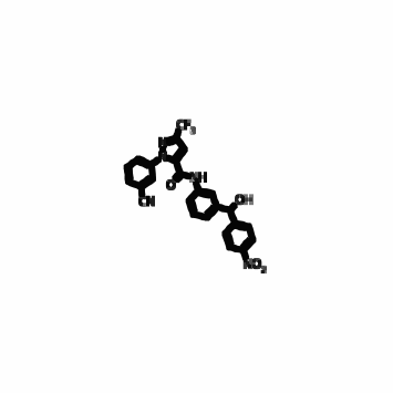 N#Cc1cccc(-n2nc(C(F)(F)F)cc2C(=O)Nc2cccc(C(O)c3ccc([N+](=O)[O-])cc3)c2)c1